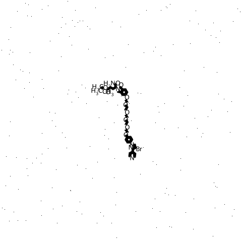 CC(C)(C)OC(=O)CCC(C(N)=O)N1Cc2cc(OCCOCCOCCOCCOCCOc3ccc(-n4cc(Br)c(-c5ccncc5)n4)cc3)ccc2C1=O